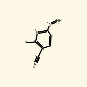 Cc1nc(N=N)ccc1C#N